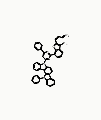 C=C/C=C\c1oc2c(-c3nc(-c4ccccc4)cc(-n4c5ccccc5c5c4ccc4c6ccccc6n(-c6ccccc6)c45)n3)cccc2c1C